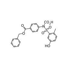 Cc1ccc(O)cc1S(=O)(=O)N(C(=O)O)c1ccc(C(=O)OCc2ccccc2)cc1